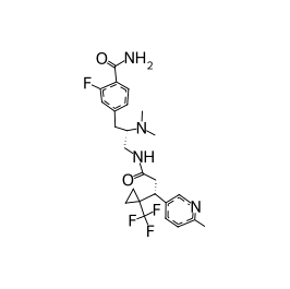 Cc1ccc([C@@H](CC(=O)NC[C@H](Cc2ccc(C(N)=O)c(F)c2)N(C)C)C2(C(F)(F)F)CC2)cn1